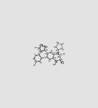 Cc1ccc(-n2c(C)nnc2-c2ccc3c(c2)N(C2CCCC2)[C@H](C)C(=O)N3C)cc1